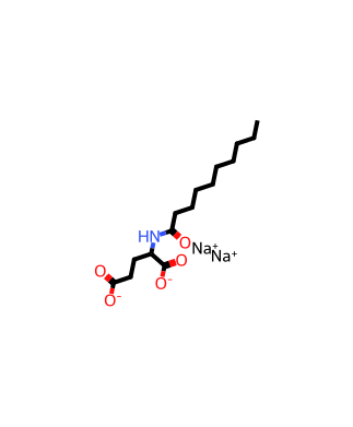 CCCCCCCCCC(=O)NC(CCC(=O)[O-])C(=O)[O-].[Na+].[Na+]